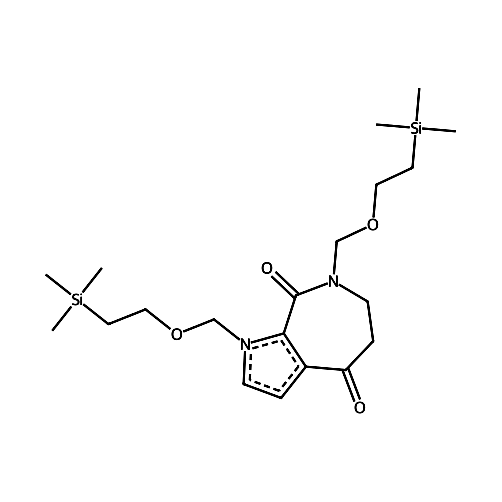 C[Si](C)(C)CCOCN1CCC(=O)c2ccn(COCC[Si](C)(C)C)c2C1=O